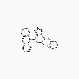 CC1=CC(c2c3ccccc3cc3ccccc23)n2nnnc2N1Cc1ccccc1